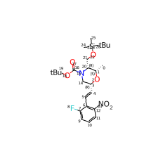 C[C@@H]1O[C@H](C=Cc2c(F)cccc2[N+](=O)[O-])CN(C(=O)OC(C)(C)C)[C@@H]1CO[Si](C)(C)C(C)(C)C